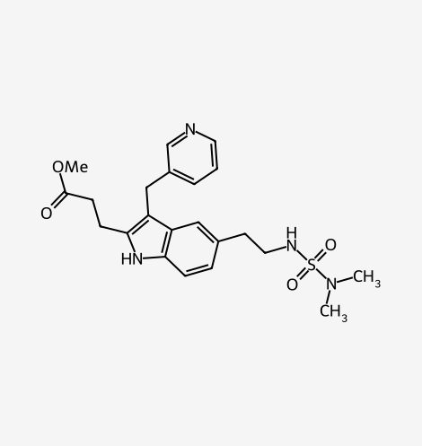 COC(=O)CCc1[nH]c2ccc(CCNS(=O)(=O)N(C)C)cc2c1Cc1cccnc1